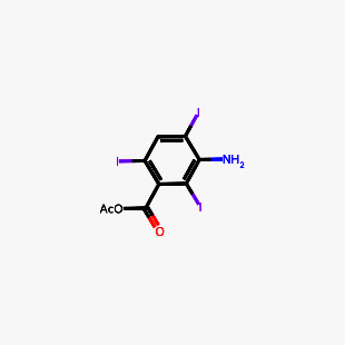 CC(=O)OC(=O)c1c(I)cc(I)c(N)c1I